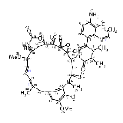 C/C=N\c1c(C(=O)N(C)[C@@H](C)C(=O)O[C@H]2CC(=O)N(C)c3cc(cc(OC)c3Cl)C/C(C)=C/C=C/[C@@H](OC)[C@@]3(O)C[C@H](OC(=O)N3)[C@@H](C)[C@@H]3O[C@@]23C)ccc(N)c1C